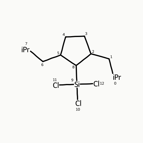 CC(C)CC1CCC(CC(C)C)C1[Si](Cl)(Cl)Cl